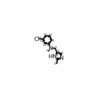 Cc1ncc(CN(C)c2cccc(Cl)c2)[nH]1